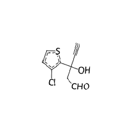 C#CC(O)(CC=O)c1sccc1Cl